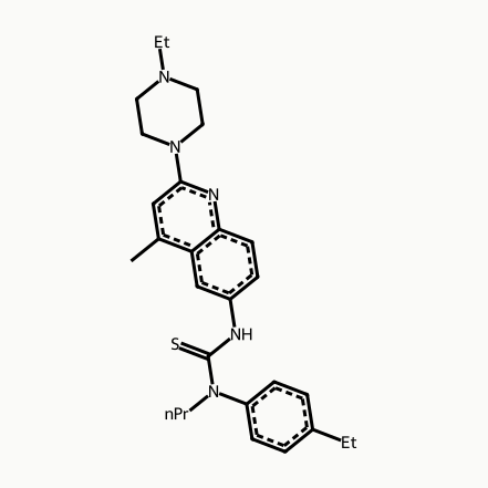 CCCN(C(=S)Nc1ccc2nc(N3CCN(CC)CC3)cc(C)c2c1)c1ccc(CC)cc1